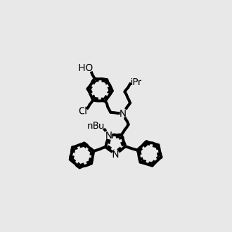 CCCCn1c(-c2ccccc2)nc(-c2ccccc2)c1CN(CCC(C)C)Cc1ccc(O)cc1Cl